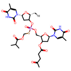 [2H]C[C@H]1O[C@@H](n2cc(C)c(=O)[nH]c2=O)CC1OP(=O)(OC[C@H]1O[C@@H](n2cc(C)c(=O)[nH]c2=O)CC1OC(=O)CCC(C)=O)SCOC(=O)C(C)C